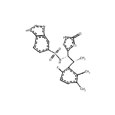 Cc1ccc(F)c([C@@H](C)[C@H](NS(=O)(=O)c2ccc3[nH]nnc3c2)c2n[nH]c(=O)o2)c1C